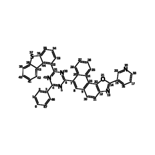 c1ccc(-c2nc(-c3cc4ccc5nc(-c6cccnc6)oc5c4c4ccccc34)nc(-c3cccc4sc5ccccc5c34)n2)cc1